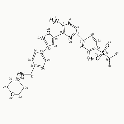 [2H]c1cc(-c2cnc(N)c(-c3cc(-c4ccc(CNC5CCOCC5)cc4)no3)n2)ccc1S(=O)(=O)C(C)C